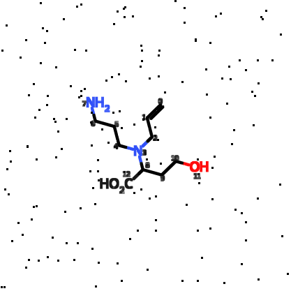 C=CCN(CCCN)C(CCO)C(=O)O